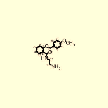 COc1ccc(COc2ccccc2C(=O)NCCN)cc1